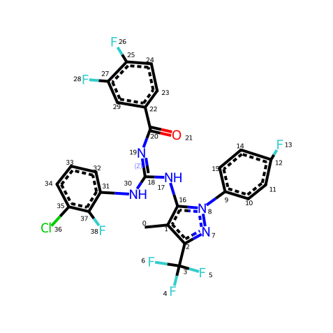 Cc1c(C(F)(F)F)nn(-c2ccc(F)cc2)c1N/C(=N\C(=O)c1ccc(F)c(F)c1)Nc1cccc(Cl)c1F